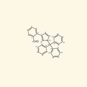 O=Cc1ccccc1-c1ccn(C(c2ccccc2)(c2ccccc2)c2ccccc2)n1